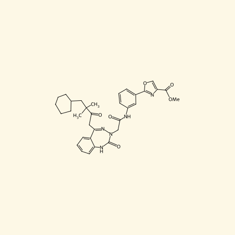 COC(=O)c1coc(-c2cccc(NC(=O)CN3N=C(CC(=O)C(C)(C)CC4CCCCC4)c4ccccc4NC3=O)c2)n1